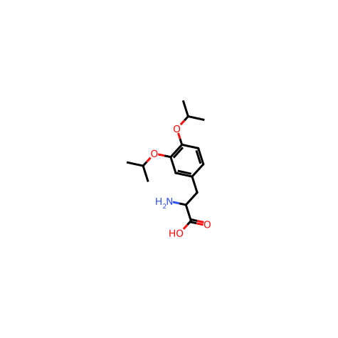 CC(C)Oc1ccc(CC(N)C(=O)O)cc1OC(C)C